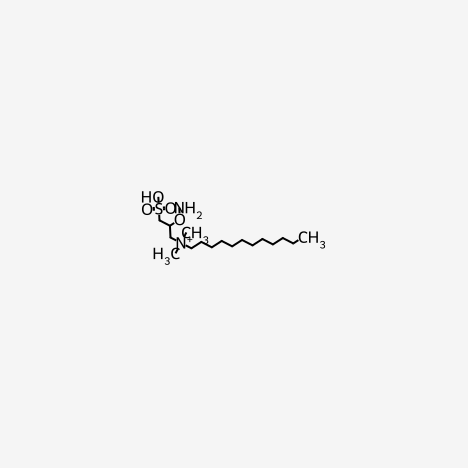 CCCCCCCCCCCC[N+](C)(C)CC(CS(=O)(=O)O)ON